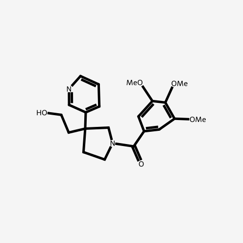 COc1cc(C(=O)N2CCC(CCO)(c3cccnc3)C2)cc(OC)c1OC